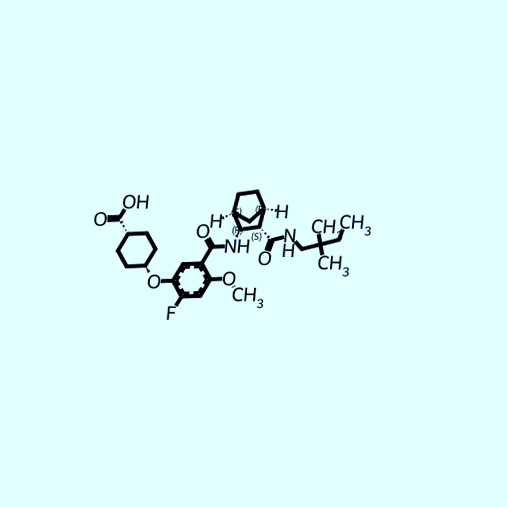 CCC(C)(C)CNC(=O)[C@H]1[C@@H]2CC[C@@H](C2)[C@H]1NC(=O)c1cc(O[C@H]2CC[C@@H](C(=O)O)CC2)c(F)cc1OC